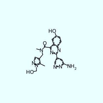 Cc1c(CN(C)C(=O)c2nc(-c3cnnc(N)c3)nc3ccc(O)cc23)cnn1CO